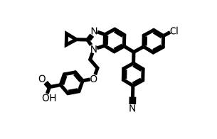 N#Cc1ccc(C(c2ccc(Cl)cc2)c2ccc3nc(C4CC4)n(CCOc4ccc(C(=O)O)cc4)c3c2)cc1